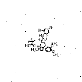 COc1ccc([C@@]23CC[C@@H](NC(=O)Nc4c(F)cc(Br)cc4Br)C[C@@H]2N(C)CC3)cc1OC.O=C(O)C(F)(F)F